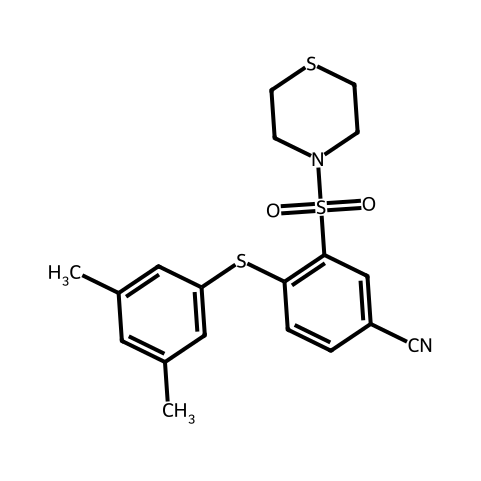 Cc1cc(C)cc(Sc2ccc(C#N)cc2S(=O)(=O)N2CCSCC2)c1